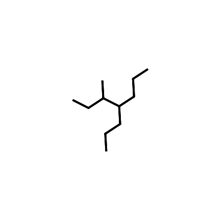 CCCC(CCC)C(C)CC